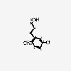 OCCCc1cc(Cl)ccc1Cl